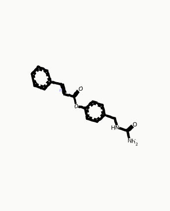 NC(=O)NCc1ccc(OC(=O)/C=C/c2ccccc2)cc1